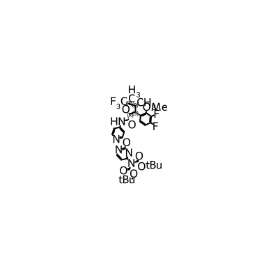 COc1c([C@H]2[C@H](C(=O)Nc3ccnc(Oc4nccc(N(C(=O)OC(C)(C)C)C(=O)OC(C)(C)C)n4)c3)O[C@@](C)(C(F)(F)F)[C@H]2C)ccc(F)c1F